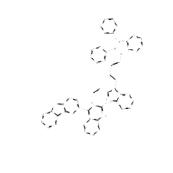 C=Cc1c(/C=C/C2=CC3c4ccccc4N(c4ccccc4)C3c3ccccc32)c2ccccc2n1-c1nc(-c2ccc3oc4ccccc4c3c2)c2ccccc2n1